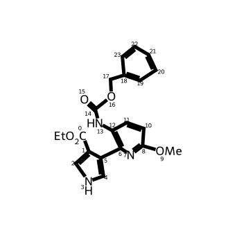 CCOC(=O)c1c[nH]cc1-c1nc(OC)ccc1NC(=O)OCc1ccccc1